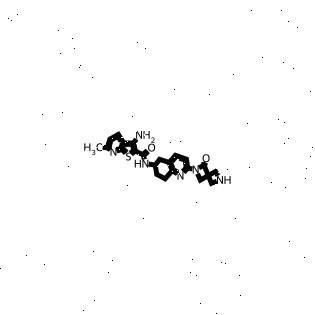 Cc1ccc2c(N)c(C(=O)NC3CCc4nc(N5CC6(CNC6)C5=O)ccc4C3)sc2n1